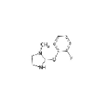 CN1CCNC1Oc1ccccc1F